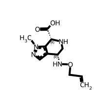 C=CCON[C@H]1CN[C@@H](C(=O)O)c2c1cnn2C